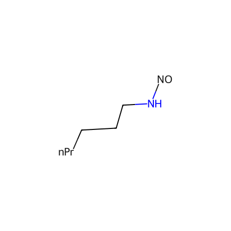 CCCCCCNN=O